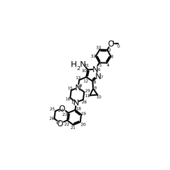 COc1ccc(-n2nc(C3CC3)c(CN3CCN(c4cccc5c4OCCO5)CC3)c2N)cc1